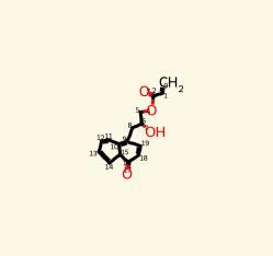 C=CC(=O)OCC(O)CC1=C2C=CC=CC2C(=O)C=C1